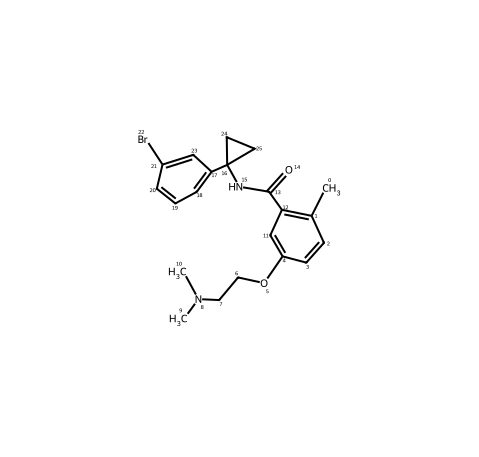 Cc1ccc(OCCN(C)C)cc1C(=O)NC1(c2cccc(Br)c2)CC1